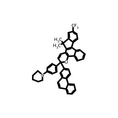 CC1(C)c2cc(C(F)(F)F)ccc2-c2c1c1c(c3ccccc23)OC(c2ccc(N3CCCCC3)cc2)(c2ccc3c(ccc4ccccc43)c2)C=C1